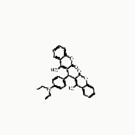 CCN(CC)c1ccc(C(c2c(O)c3ccccc3oc2=O)c2c(O)c3ccccc3oc2=O)cc1